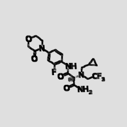 NC(=O)[C@H](C(=O)Nc1ccc(N2CCOCC2=O)cc1F)N(CC1CC1)CC(F)(F)F